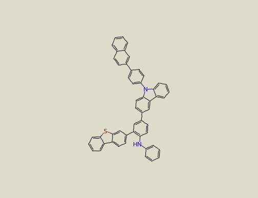 c1ccc(Nc2ccc(-c3ccc4c(c3)c3ccccc3n4-c3ccc(-c4ccc5ccccc5c4)cc3)cc2-c2ccc3c(c2)sc2ccccc23)cc1